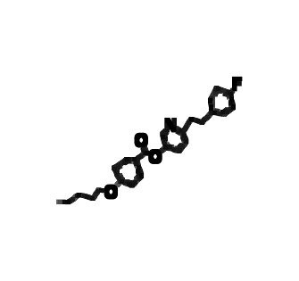 CCCCCOc1ccc(C(=O)Oc2ccc(CCc3ccc(F)cc3)nc2)cc1